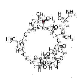 C=C1C[C@@H]2CCC34C[C@H]5O[C@H]6[C@@H](O3)[C@H]3OC(CC[C@@H]3O[C@H]6[C@H]5O4)CC(=O)CC3[C@H](C[C@H]4O[C@@H](CCC1O2)C[C@@H](C)C4=C)O[C@H](C[C@H](O)CN)[C@@H]3C